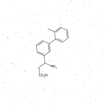 CCOC(=O)CC(N)c1cccc(-c2ccccc2C)c1